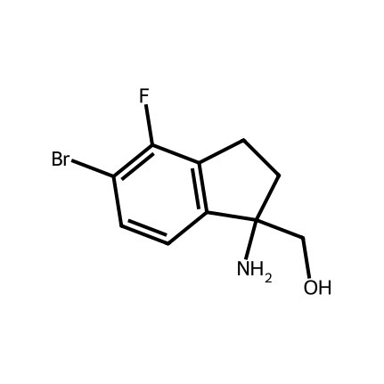 NC1(CO)CCc2c1ccc(Br)c2F